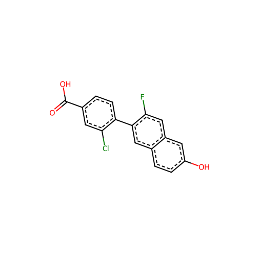 O=C(O)c1ccc(-c2cc3ccc(O)cc3cc2F)c(Cl)c1